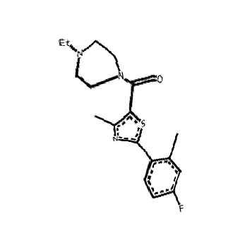 CCN1CCN(C(=O)c2sc(-c3ccc(F)cc3C)nc2C)CC1